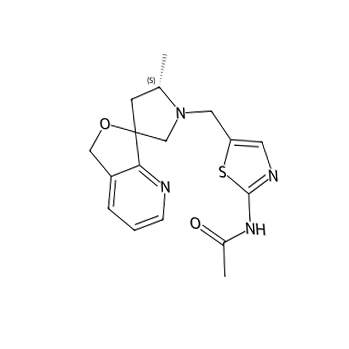 CC(=O)Nc1ncc(CN2CC3(C[C@@H]2C)OCc2cccnc23)s1